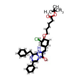 CC(C)(C)OC(=O)CCCCCOc1ccc(/C=C2\NC3C(Cc4ccccc4)=NC(c4ccccc4)=CN3C2=O)cc1Cl